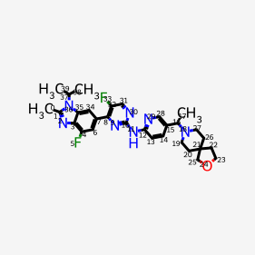 Cc1nc2c(F)cc(-c3nc(Nc4ccc([C@@H](C)N5CCC6(CCOC6)CC5)cn4)ncc3F)cc2n1C(C)C